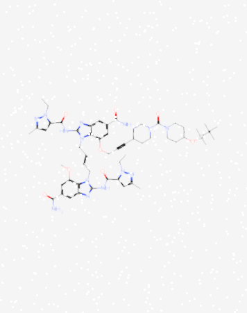 CCn1nc(C)cc1C(=O)Nc1nc2cc(C(N)=O)cc(OC)c2n1CC=CCn1c(NC(=O)c2cc(C)nn2CC)nc2cc(C(N)=O)cc(OCC#CC3CCN(C(=O)N4CCC(O[Si](C)(C)C(C)(C)C)CC4)CC3)c21